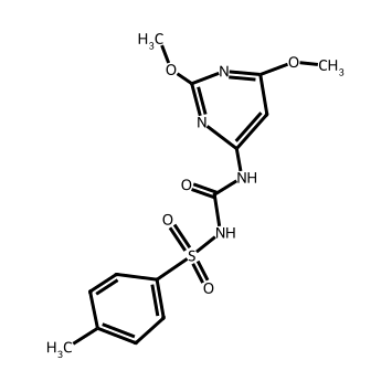 COc1cc(NC(=O)NS(=O)(=O)c2ccc(C)cc2)nc(OC)n1